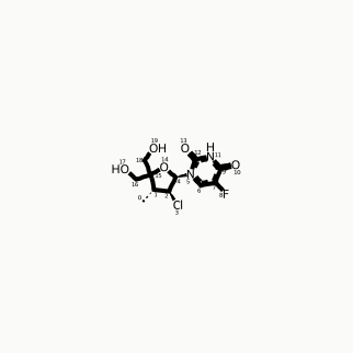 C[C@H]1[C@H](Cl)[C@H](n2cc(F)c(=O)[nH]c2=O)OC1(CO)CO